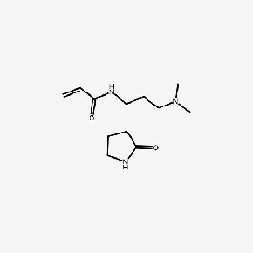 C=CC(=O)NCCCN(C)C.O=C1CCCN1